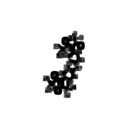 CC(C)(C)C(=O)N(C(=O)C(C)(C)C)c1ccc(Cc2ccc(N(C(=O)C(C)(C)C)C(=O)C(C)(C)C)cc2)cc1